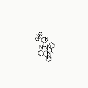 CC(Nc1nc(-c2cncc(S(C)(=O)=O)c2)nc2cccc(-c3ccccc3)c12)c1ccccn1